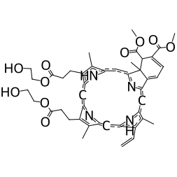 C=Cc1c(C)c2cc3nc(cc4[nH]c(cc5nc(cc1[nH]2)C(C)=C5CCC(=O)OCCO)c(CCC(=O)OCCO)c4C)C1(C)C3=CC=C(C(=O)OC)C1C(=O)OC